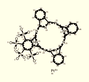 O=S(=O)([O-])c1c(S(=O)(=O)[O-])c(S(=O)(=O)[O-])c2c3nc4nc(nc5[nH]c(nc6nc(nc([nH]3)c2c1S(=O)(=O)[O-])-c1ccccc1-6)c1ccccc51)-c1ccccc1-4.[Pt+4]